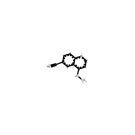 C#Cc1ccc2nccc(OC)c2c1